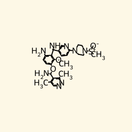 COc1c(O[C@H](N)c2c(C)cnnc2C)ccc(N)c1C(=N)c1ccc(N2CCN([S+](C)[O-])CC2)nc1